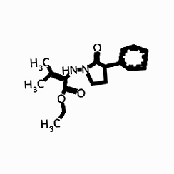 CCOC(=O)C(NN1CCC(c2ccccc2)C1=O)=C(C)C